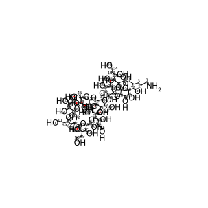 NCCCCCO[C@@H](O)C(O[C@H]1OC(CO)[C@@H](O)C(O)C1O[C@@H]1OC(CO)[C@@H](O)C(O[C@H]2OC(CO)[C@@H](O)C(O)C2O[C@H]2OC(CO)[C@@H](O)C(O)C2O[C@H](O)C(O)C(O[C@@H](O)C(O[C@@H](O)/C(=C/[C@H](O)CCO)CO[C@@H]2OC(CO)[C@@H](O)C(O)C2O)C(O)[C@H](O)CCO)[C@H](O)CCO)C1O)C(O)[C@H](O)CCO